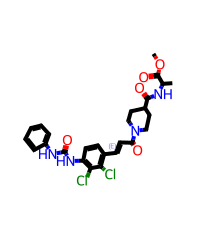 COC(=O)C(C)NC(=O)C1CCN(C(=O)/C=C/c2ccc(NC(=O)Nc3ccccc3)c(Cl)c2Cl)CC1